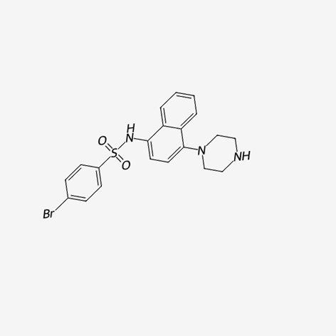 O=S(=O)(Nc1ccc(N2CCNCC2)c2ccccc12)c1ccc(Br)cc1